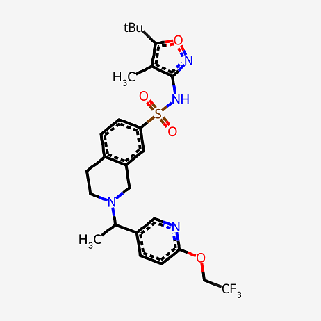 Cc1c(NS(=O)(=O)c2ccc3c(c2)CN(C(C)c2ccc(OCC(F)(F)F)nc2)CC3)noc1C(C)(C)C